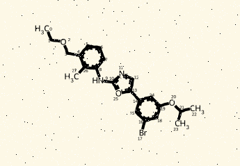 CCOCc1cccc(Nc2ncc(-c3cc(Br)cc(OC(C)C)c3)o2)c1C